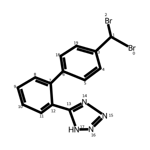 BrC(Br)c1ccc(-c2ccccc2-c2nnn[nH]2)cc1